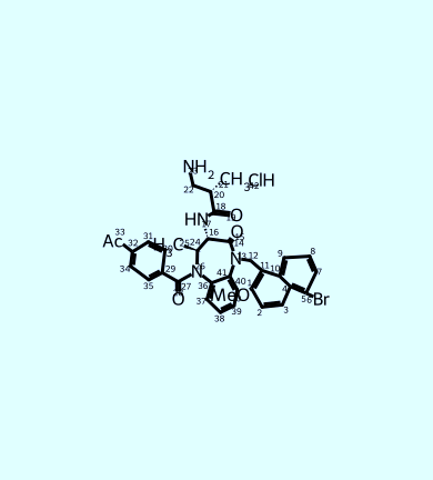 COc1ccc2c(Br)cccc2c1CN1C(=O)[C@@H](NC(=O)[C@@H](C)CN)[C@H](C)N(C(=O)c2ccc(C(C)=O)cc2)c2ccccc21.Cl